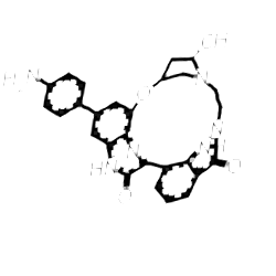 C[C@@H]1CC2CN1CCn1[nH]c3c(cccc3c1=O)-c1nc3c(cc(-c4ccc(N)cc4)cc3[nH]c1=O)O2